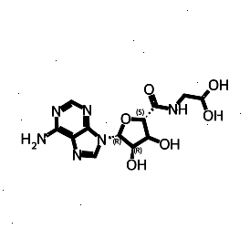 Nc1ncnc2c1ncn2[C@@H]1O[C@H](C(=O)NCC(O)O)C(O)[C@H]1O